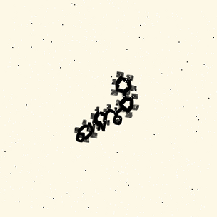 O=C(Cc1ccc(N2CCOCC2)nc1)c1cccc(-c2ccccc2)c1